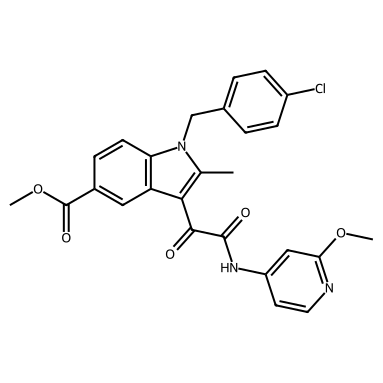 COC(=O)c1ccc2c(c1)c(C(=O)C(=O)Nc1ccnc(OC)c1)c(C)n2Cc1ccc(Cl)cc1